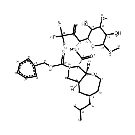 C=C([C@@H](NC(=O)[C@@H]1[C@@H]2OCC[C@@H](CC(C)C)C[C@H]2CN1C(=O)OCc1ccccc1)[C@H]1OC(SC)[C@H](O)C(O)C1O)C(F)(F)F